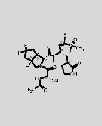 CC(C)(C)[C@H](NC(=O)C(F)(F)F)C(=O)N1C[C@@H]2CC(F)(F)C[C@@H]2[C@@H]1C(=O)N[C@H](/C=C(/F)S(C)(=O)=O)C[C@@H]1CCNC1=O